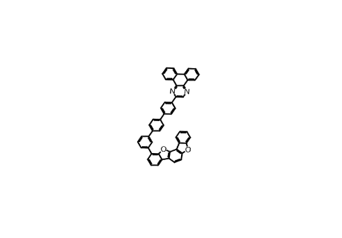 c1cc(-c2ccc(-c3ccc(-c4cnc5c6ccccc6c6ccccc6c5n4)cc3)cc2)cc(-c2cccc3c2oc2c3ccc3oc4ccccc4c32)c1